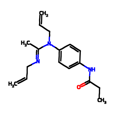 C=CCN=C(C)N(CC=C)c1ccc(NC(=O)CC)cc1